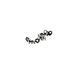 CC1(C)C2CCC1(C)C(NC(=O)c1ccnc(Nc3ccc(NCCN4CCCC4)cc3)n1)C2